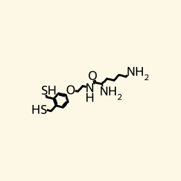 NCCCC[C@@H](N)C(=O)NCCOc1ccc(CS)c(CS)c1